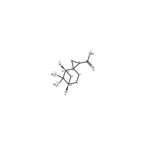 CC1(C)[C@H]2CCC3(CC3C(=O)O)[C@@H]1C2